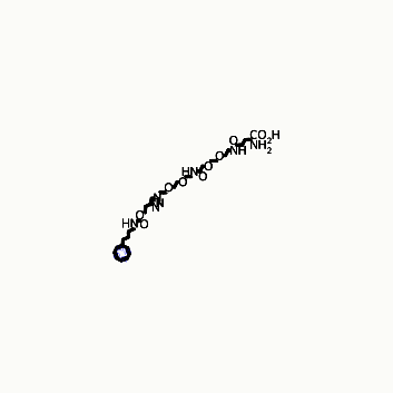 NC(CCC(=O)NCCOCCOCC(=O)NCCOCCOCCn1cc(CCOC(=O)NCCCCC2=C/C=C\C=C/C=C\2)nn1)C(=O)O